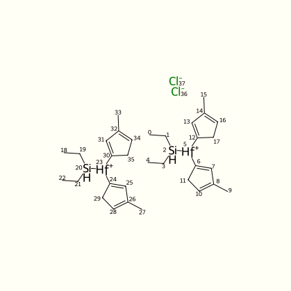 CC[SiH](CC)[Hf+]([C]1=CC(C)=CC1)[C]1=CC(C)=CC1.CC[SiH](CC)[Hf+]([C]1=CC(C)=CC1)[C]1=CC(C)=CC1.[Cl-].[Cl-]